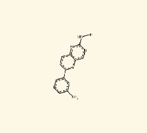 CC(C)Nc1ncc2cc(-c3cccc(N)c3)ccc2n1